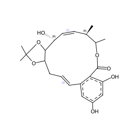 CC1OC(=O)c2c(O)cc(O)cc2/C=C/CC2OC(C)(C)OC2[C@H](O)/C=C\[C@H]1C